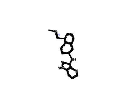 C/N=C/c1cccc2cc(Nc3n[nH]c4cccnc34)ccc12